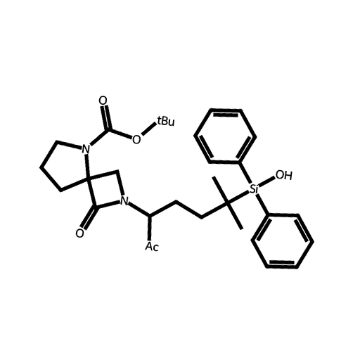 CC(=O)C(CCC(C)(C)[Si](O)(c1ccccc1)c1ccccc1)N1CC2(CCCN2C(=O)OC(C)(C)C)C1=O